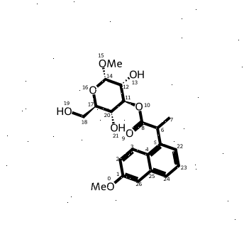 COc1ccc2c(C(C)C(=O)O[C@@H]3[C@@H](O)[C@@H](OC)O[C@H](CO)[C@H]3O)cccc2c1